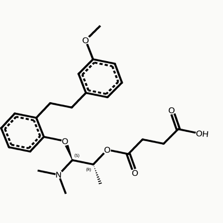 COc1cccc(CCc2ccccc2O[C@@H]([C@@H](C)OC(=O)CCC(=O)O)N(C)C)c1